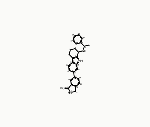 CC(NC1CCCc2c1[nH]c1cc(-c3ccc4c(c3)C(=O)NC4)ccc21)c1ccccc1